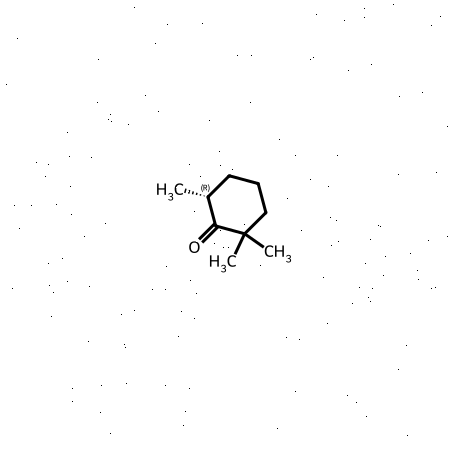 C[C@@H]1CCCC(C)(C)C1=O